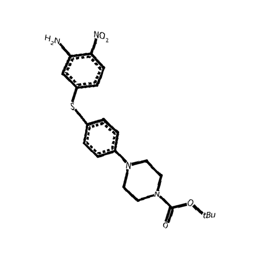 CC(C)(C)OC(=O)N1CCN(c2ccc(Sc3ccc([N+](=O)[O-])c(N)c3)cc2)CC1